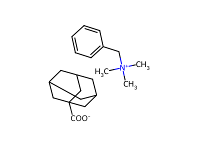 C[N+](C)(C)Cc1ccccc1.O=C([O-])C12CC3CC(CC(C3)C1)C2